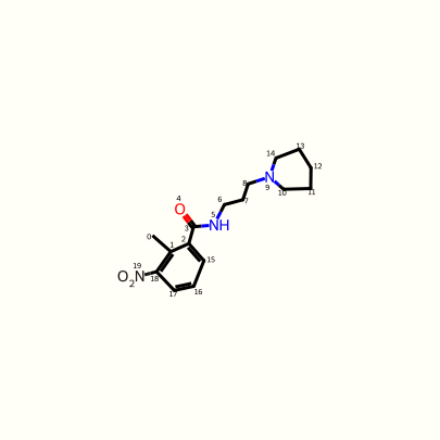 Cc1c(C(=O)NCCCN2CCCCC2)cccc1[N+](=O)[O-]